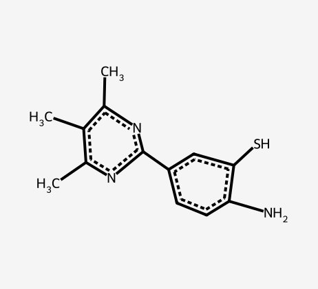 Cc1nc(-c2ccc(N)c(S)c2)nc(C)c1C